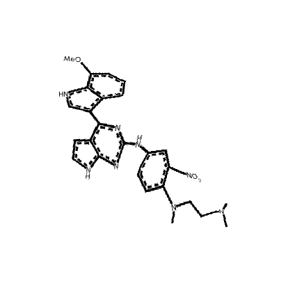 COc1cccc2c(-c3nc(Nc4ccc(N(C)CCN(C)C)c([N+](=O)[O-])c4)nc4[nH]ccc34)c[nH]c12